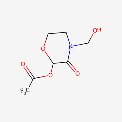 O=C1C(OC(=O)C(F)(F)F)OCCN1CO